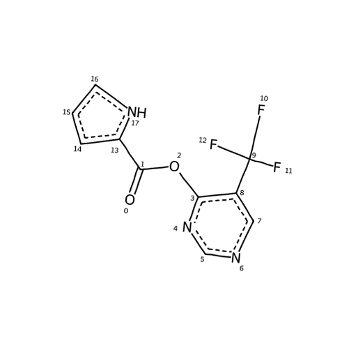 O=C(Oc1ncncc1C(F)(F)F)c1ccc[nH]1